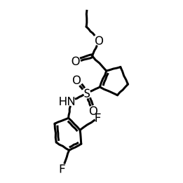 CCOC(=O)C1=C(S(=O)(=O)Nc2ccc(F)cc2F)CCC1